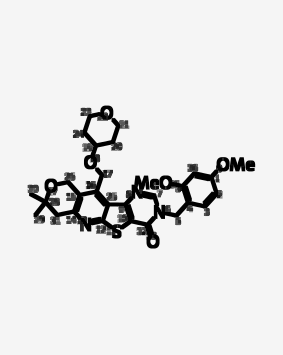 COc1ccc(Cn2cnc3c(sc4nc5c(c(COC6CCOCC6)c43)COC(C)(C)C5)c2=O)c(OC)c1